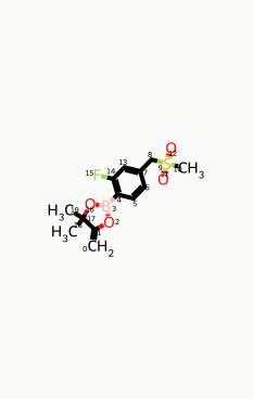 C=C1OB(c2ccc(CS(C)(=O)=O)cc2F)OC1(C)C